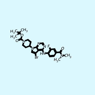 CN(C)C(=O)c1ccc(Nc2ncnc3c2c(Br)cn3C2CCN(C(=O)OC(C)(C)C)CC2)c(F)c1